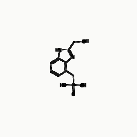 O=P(O)(O)Cc1cccc2[nH]c(CO)nc12